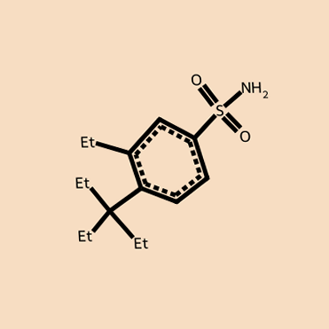 CCc1cc(S(N)(=O)=O)ccc1C(CC)(CC)CC